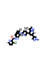 Cn1cc(-c2cc(-c3ccc(N4[C@@H]5CC6C[C@H]4CC(NC(=O)c4ncccc4Cl)(C6)C5)nc3)c3c(C#N)cnn3c2)cn1